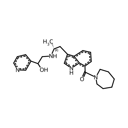 C[C@H](Cc1c[nH]c2c(C(=O)N3CCCCCC3)cccc12)NCC(O)c1cccnc1